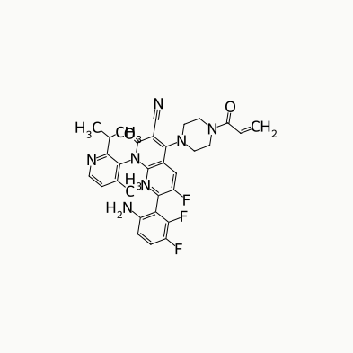 C=CC(=O)N1CCN(c2c(C#N)c(=O)n(-c3c(C)ccnc3C(C)C)c3nc(-c4c(N)ccc(F)c4F)c(F)cc23)CC1